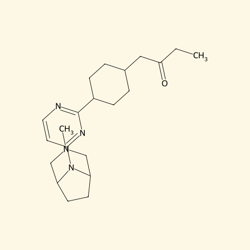 CCC(=O)CC1CCC(c2nccc(N3C4CCC3CN(C)C4)n2)CC1